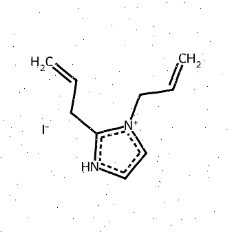 C=CCc1[nH]cc[n+]1CC=C.[I-]